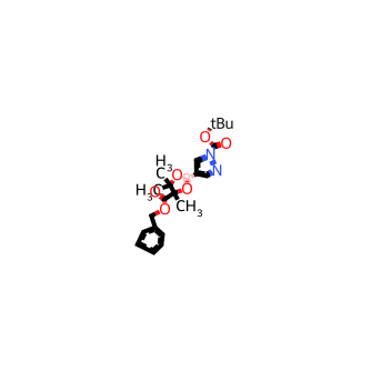 CC(C)(C)OC(=O)n1cc(B2OC(C)(C)C(C)(C(=O)OCc3ccccc3)O2)cn1